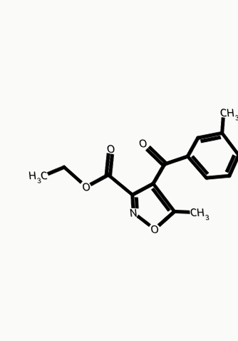 CCOC(=O)c1noc(C)c1C(=O)c1cccc(C)c1